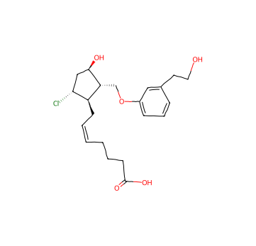 O=C(O)CCC/C=C\C[C@@H]1[C@@H](COc2cccc(CCO)c2)[C@H](O)C[C@H]1Cl